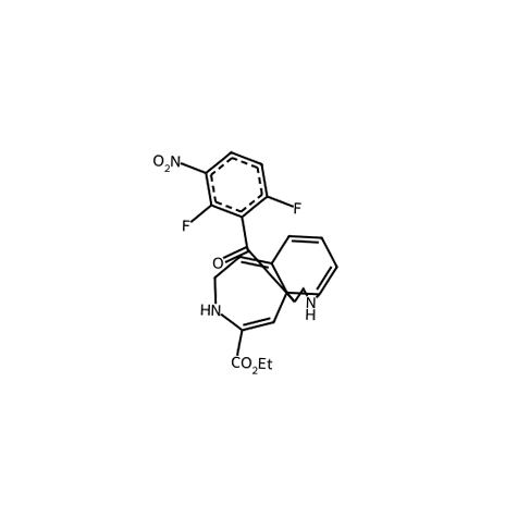 CCOC(=O)C1=CC23C(=CCN1)C=CC=C2NCC3C(=O)c1c(F)ccc([N+](=O)[O-])c1F